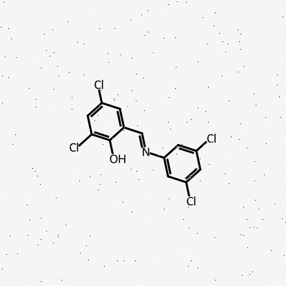 Oc1c(Cl)cc(Cl)cc1/C=N/c1cc(Cl)cc(Cl)c1